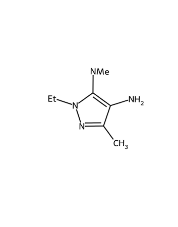 CCn1nc(C)c(N)c1NC